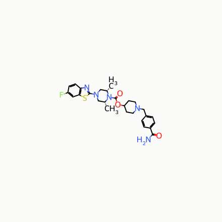 C[C@@H]1CN(c2nc3ccc(F)cc3s2)C[C@H](C)N1C(=O)OC1CCN(Cc2ccc(C(N)=O)cc2)CC1